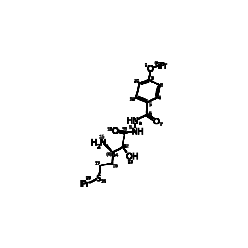 CC(C)Oc1ccc(C(=O)NNC(=O)C(O)[C@H](N)CCSC(C)C)cc1